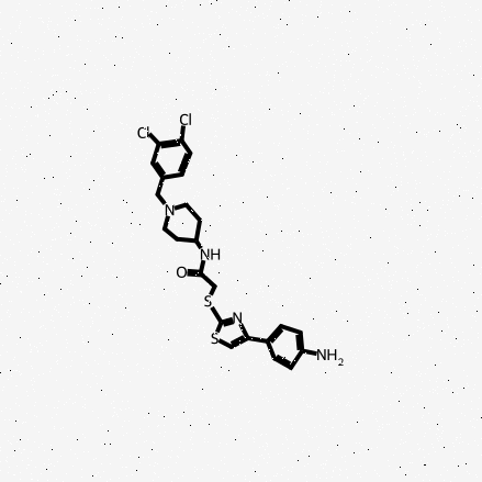 Nc1ccc(-c2csc(SCC(=O)NC3CCN(Cc4ccc(Cl)c(Cl)c4)CC3)n2)cc1